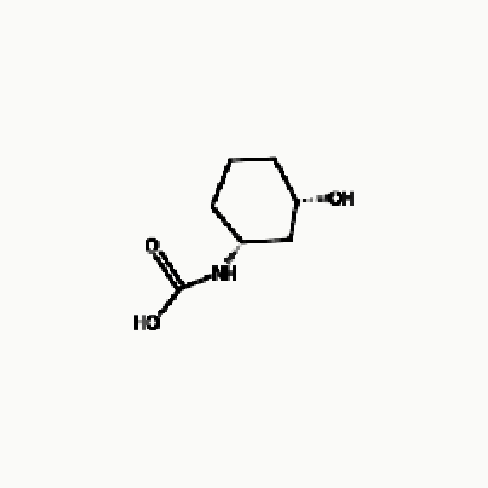 O=C(O)N[C@@H]1CCC[C@H](O)C1